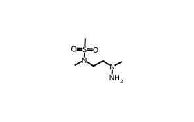 CN(N)CCN(C)S(C)(=O)=O